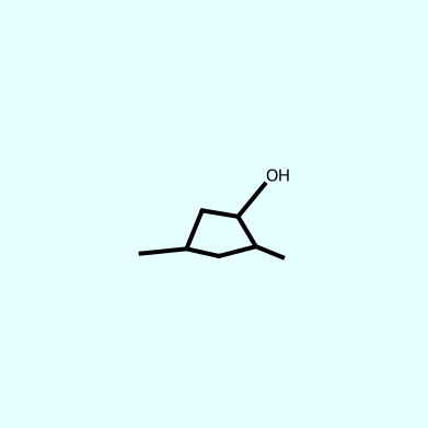 CC1CC(C)C(O)C1